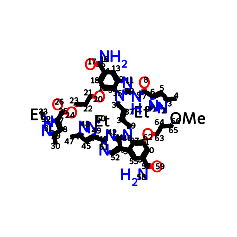 CCn1nc(C)cc1C(=O)Nc1nc2cc(C(N)=O)cc(OCCCOC(=O)c3cc(C)nn3CC)c2n1CC=CCn1c2nc(-c3cc(C)nn3CC)ncc2c2cc(C(N)=O)cc(OCCCOC)c21